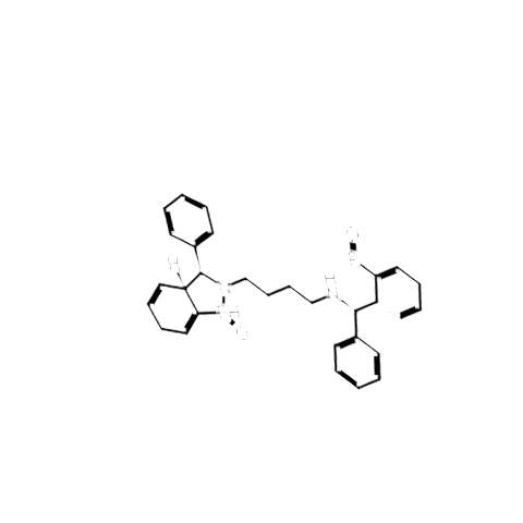 O=PC1=CCC=C[C@@H]1[C@H](NCCCCN1[C@H](c2ccccc2)[C@H]2C=CCC=C2[PH]1=O)c1ccccc1